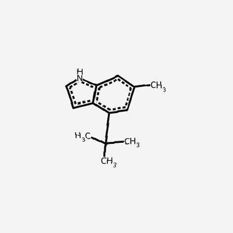 Cc1cc(C(C)(C)C)c2cc[nH]c2c1